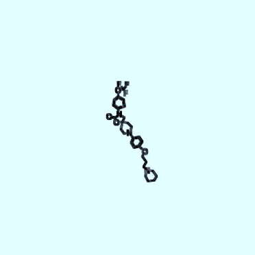 O=C1OC2(CCN(c3ccc(OCCCN4CCCCC4)cc3)CC2)CN1c1ccc(OC(F)(F)F)cc1